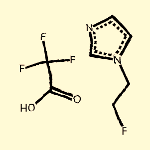 FCCn1ccnc1.O=C(O)C(F)(F)F